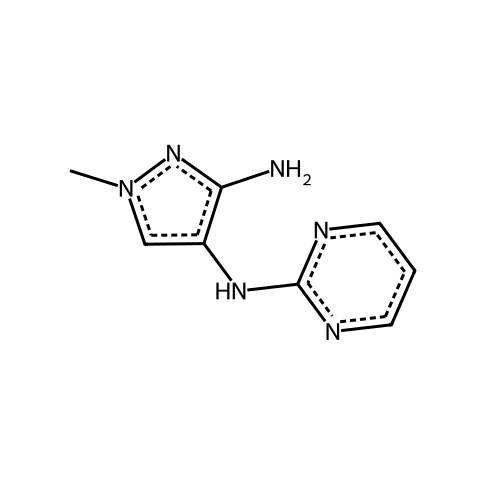 Cn1cc(Nc2ncccn2)c(N)n1